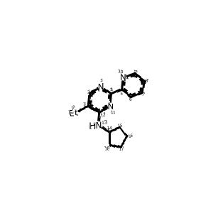 CCc1cnc(-c2ccccn2)nc1NC1CCCC1